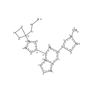 Cn1cc(-c2cc3nccn3c(-c3cnn(C4(CCF)CCC4)c3)n2)cn1